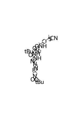 CC1=C(c2ccc(C(C)NC(=O)C3CCCN3C(=O)C(NC(=O)C3C=NC(N4CCN(CC5(F)CCN(C(=O)OC(C)(C)C)CC5)CC4)=CN3)C(C)(C)C)cc2)S1(C)C#N